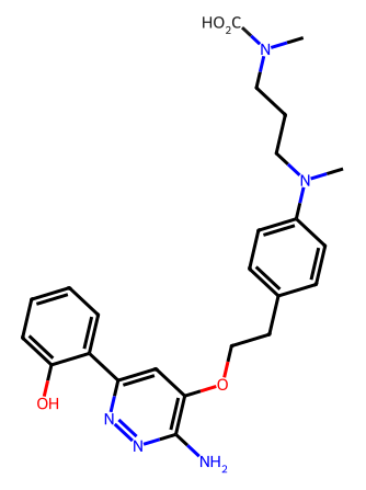 CN(CCCN(C)c1ccc(CCOc2cc(-c3ccccc3O)nnc2N)cc1)C(=O)O